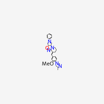 COc1cc(/C=C2\CCCN3C2=NOC2CN(c4ccccc4)CC23)ccc1N1C=NC(C)C1